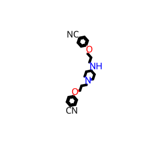 N#Cc1ccc(OCCCNC2CCN(CCCOc3ccc(C#N)cc3)CC2)cc1